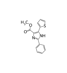 COC(=O)c1nc(-c2ccccc2)[nH]c1-c1cccs1